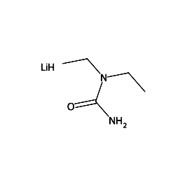 CCN(CC)C(N)=O.[LiH]